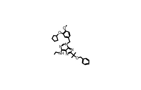 CCNc1ncn(Cc2ccc(OC)c(OC3CCCC3)c2)c2nc(C(C)(C)OCc3ccccc3)nc1-2